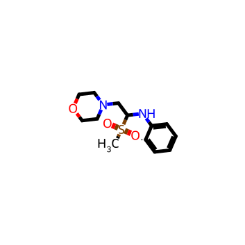 CS(=O)(=O)C(CN1CCOCC1)Nc1[c]cccc1